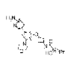 CC(C)C[C@@H](O)C(=O)N(C)[C@H]1C[C@H](Oc2cc(-c3cnc(N)nc3)nc(N3CCOCC3)n2)C1